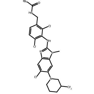 Cn1c(Nc2c(Cl)ccc(CNC(=O)C(C)(C)C)c2Cl)nc2cc(Cl)c(N3CCCC(C(F)(F)F)C3)cc21